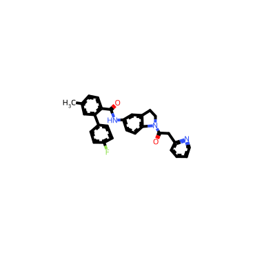 Cc1ccc(C(=O)Nc2ccc3c(c2)CCN3C(=O)Cc2ccccn2)c(-c2ccc(F)cc2)c1